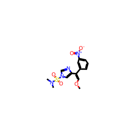 COC=C(c1cccc([N+](=O)[O-])c1)c1cn(S(=O)(=O)N(C)C)cn1